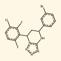 Fc1ccc(Cl)c(F)c1C1CC(c2cccc(Br)c2)Nc2nnnn21